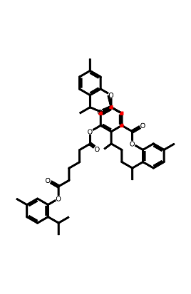 Cc1ccc(C(C)C)c(OC(=O)CCCCC(=O)Oc2cc(C)ccc2C(C)CCC(C)c2ccc(C)cc2OC(=O)CCC(=O)Oc2cc(C)ccc2C(C)C)c1